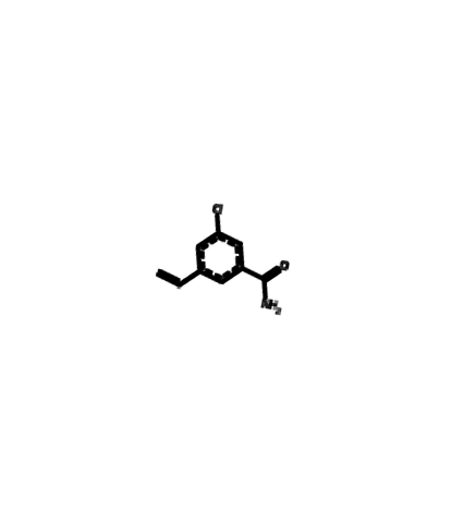 C=[C]c1cc(Cl)cc(C(N)=O)c1